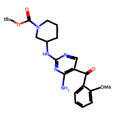 COc1ccccc1C(=O)c1cnc(NC2CCCN(C(=O)OC(C)(C)C)C2)nc1N